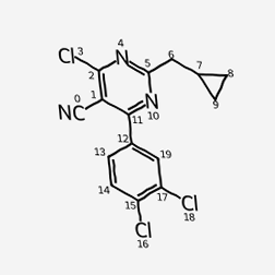 N#Cc1c(Cl)nc(CC2CC2)nc1-c1ccc(Cl)c(Cl)c1